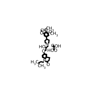 COc1cc(C2CCN(CC(O)COc3ccc4c(c3)CCC(=O)N4CCC(C)C)CC2)cc(OC)c1OC.O=C(O)C(=O)O